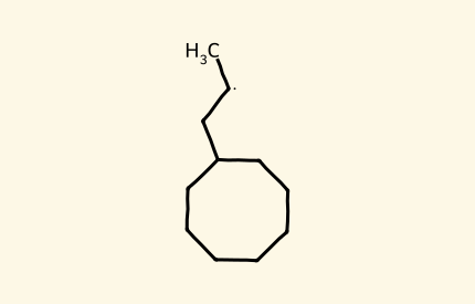 C[CH]CC1CCCCCCC1